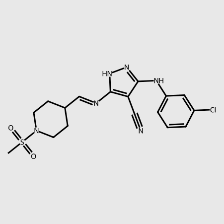 CS(=O)(=O)N1CCC(/C=N/c2[nH]nc(Nc3cccc(Cl)c3)c2C#N)CC1